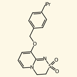 CC(C)c1ccc(COC2=CC=CN3CCS(=O)(=O)N=C23)cc1